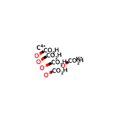 O=C([O-])O.O=C([O-])O.O=C([O-])O.O=C([O-])O.O=C([O-])O.[C+4].[K+]